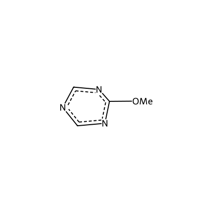 COc1ncncn1